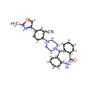 Cc1nc(-c2ccc(N3CCN(C4c5ccccc5NC(=O)c5ccccc54)CC3)c(C#N)c2)co1